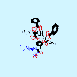 CC(C)(OC(=O)c1ccccc1)C(=O)Oc1ccc(C[C@H](N=NN)C(=O)N=O)cc1OC(=O)C(C)(C)OC(=O)c1ccccc1